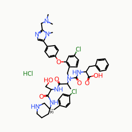 CC(C(=O)NC(CO)C(=O)N[C@@]1(Cc2ccc(Cl)cc2)CCCNC1)N(Cc1ccc(Cl)cc1Oc1ccc(-c2cnc(CN(C)C)n2C)cc1)C(=O)NC(Cc1ccccc1)C(=O)O.Cl